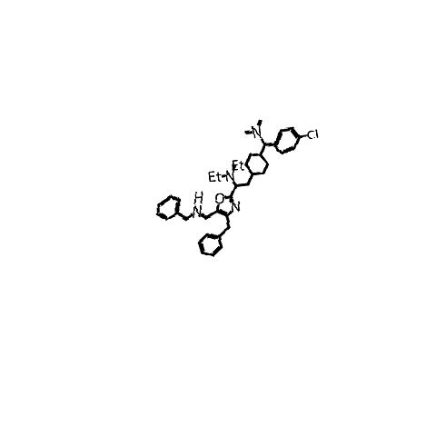 CCN(CC)C(CC1CCC(C(c2ccc(Cl)cc2)N(C)C)CC1)c1nc(Cc2ccccc2)c(CNCc2ccccc2)o1